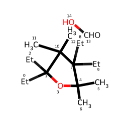 CCC1(CC)OC(C)(C)C(CC)(CC)C1(C)C.O=CO